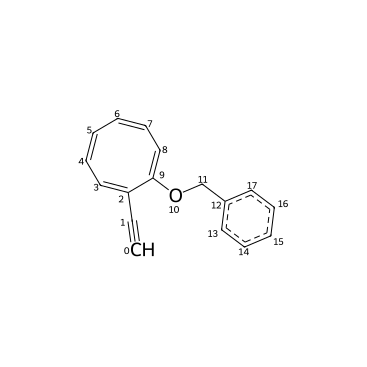 C#CC1=C/C=C\C=C/C=C\1OCc1ccccc1